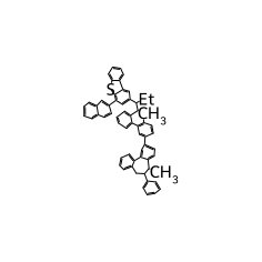 CCC(Cc1ccccc1-c1cc(-c2ccc3c(c2)-c2ccccc2CC(c2ccccc2)C3C)ccc1C)c1cc(-c2ccc3ccccc3c2)c2sc3ccccc3c2c1